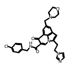 O=C(NCc1ccc(Cl)cc1)c1cn2c(CCn3ccnc3)cc3cc(CN4CCOCC4)cc(c1=O)c32